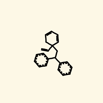 C=CC1(CC(c2ccccc2)c2ccccc2)C=CC=CC1